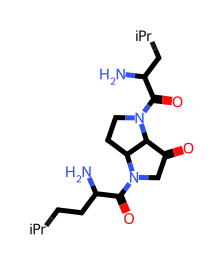 CC(C)CCC(N)C(=O)N1CC(=O)C2C1CCN2C(=O)C(N)CC(C)C